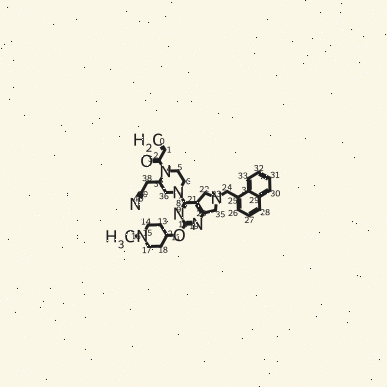 C=CC(=O)N1CCN(c2nc(OC3CCN(C)CC3)nc3c2CN(Cc2cccc4ccccc24)C3)CC1CC#N